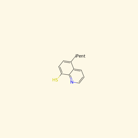 CCCC(C)c1ccc(S)c2ncccc12